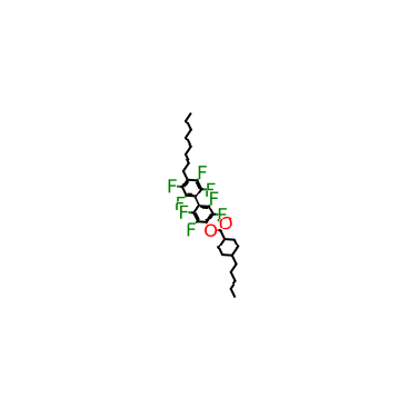 CCCCCCCCc1c(F)c(F)c(-c2c(F)c(F)c(OC(=O)C3CCC(CCCCC)CC3)c(F)c2F)c(F)c1F